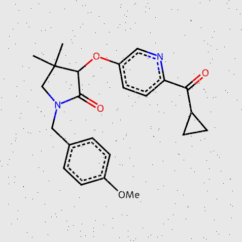 COc1ccc(CN2CC(C)(C)C(Oc3ccc(C(=O)C4CC4)nc3)C2=O)cc1